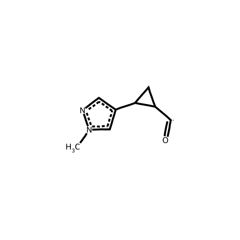 Cn1cc(C2CC2[C]=O)cn1